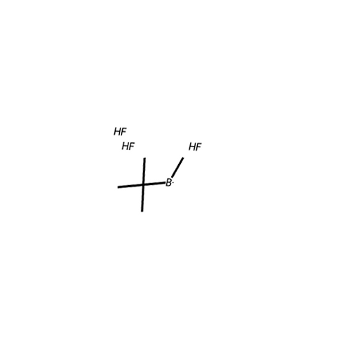 C[B]C(C)(C)C.F.F.F